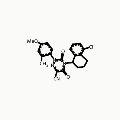 COc1ccc(-n2nc(C#N)c(=O)n(C3CCCc4c(Cl)cccc43)c2=O)c(C)c1